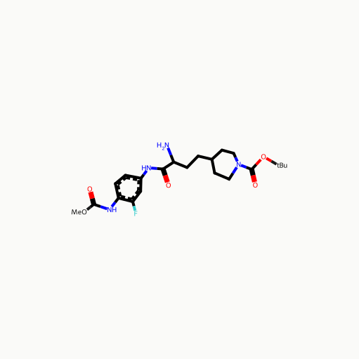 COC(=O)Nc1ccc(NC(=O)C(N)CCC2CCN(C(=O)OC(C)(C)C)CC2)cc1F